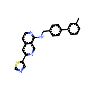 Cc1cccc(-c2ccc(CNc3nccc4cc(-c5cncs5)ncc34)cc2)c1